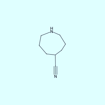 N#CC1CCCNCCC1